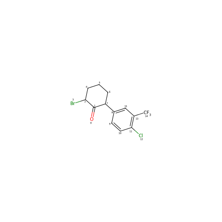 O=C1C(Br)CCCC1c1ccc(Cl)c(C(F)(F)F)c1